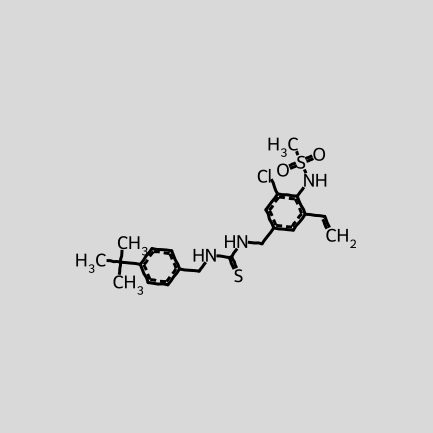 C=Cc1cc(CNC(=S)NCc2ccc(C(C)(C)C)cc2)cc(Cl)c1NS(C)(=O)=O